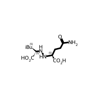 CC[C@H](C)[C@H](NN[C@@H](CCC(N)=O)C(=O)O)C(=O)O